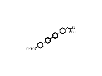 CCCCC[C@H]1CC[C@H](c2ccc(-c3ccc([C@H]4CC[C@H](CC(CC)CCCC)CC4)cc3)cc2)CC1